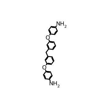 Nc1ccc(Oc2cccc(Cc3cccc(Oc4ccc(N)cc4)c3)c2)cc1